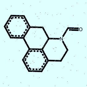 O=CN1CCc2cccc3c2C1Cc1ccccc1-3